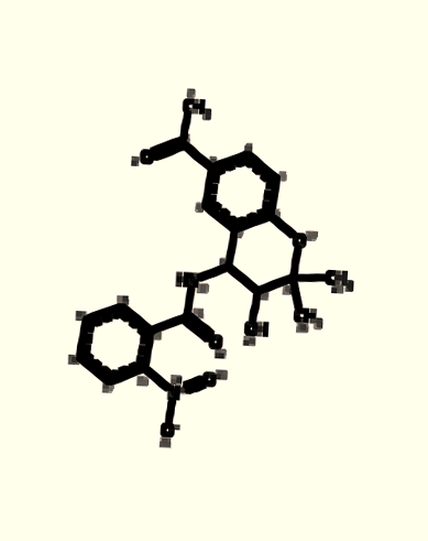 CC(=O)c1ccc2c(c1)C(NC(=O)c1ccccc1[N+](=O)[O-])C(O)C(C)(C)O2